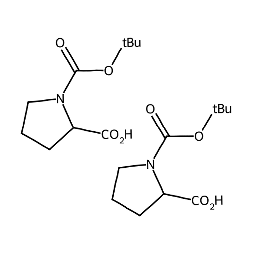 CC(C)(C)OC(=O)N1CCCC1C(=O)O.CC(C)(C)OC(=O)N1CCCC1C(=O)O